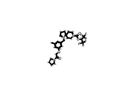 Cc1cc(CN2CCCC23CCN(C(=O)OC(C(F)(F)F)C(F)(F)F)CC3)cc(OCC(=O)N2CCCC2)c1